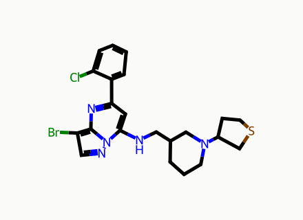 Clc1ccccc1-c1cc(NCC2CCCN(C3CCSC3)C2)n2ncc(Br)c2n1